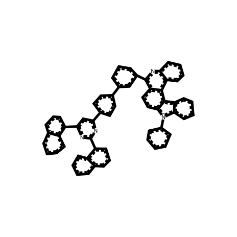 c1ccc(-n2c3ccccc3c3c4c(ccc32)c(-c2cccc(-c3ccc(-c5cc(-c6cccc7ccccc67)nc(-c6cccc7ccccc67)n5)cc3)c2)nc2ccccc24)cc1